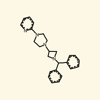 c1ccc(C(c2ccccc2)N2CC(N3CCN(c4ccccn4)CC3)C2)cc1